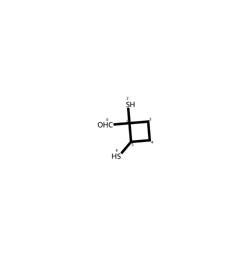 O=CC1(S)CCC1S